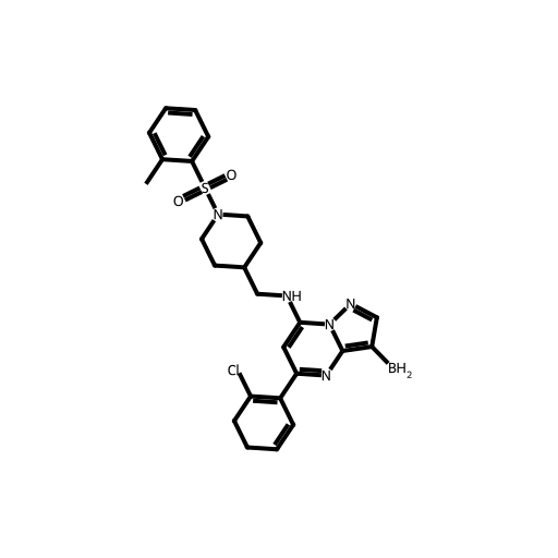 Bc1cnn2c(NCC3CCN(S(=O)(=O)c4ccccc4C)CC3)cc(C3=C(Cl)CCC=C3)nc12